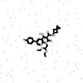 CCOC(Cn1c(=O)c(C(=O)NC2CC3(CC3)C2)c(O)c2cc(-c3ccc(F)cc3)cnc21)OCC